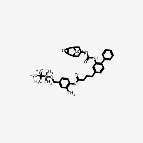 Cc1cc(CO[Si](C)(C)C(C)(C)C)ccc1NC(=O)CCCc1ccc(-c2ccccc2)c(NC(=O)OC2CC3C4OC4C(C2)N3C)c1